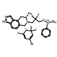 CC(F)(CO[SiH](c1ccccc1)C(C)(C)C)CN1[C@H](P)Cc2c(ccc3[nH]ncc23)[C@H]1C1C(F)=CC(Br)=CC1(C)F